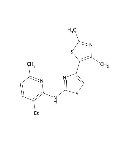 CCc1ccc(C)nc1Nc1nc(-c2sc(C)nc2C)cs1